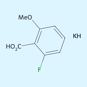 COc1cccc(F)c1C(=O)O.[KH]